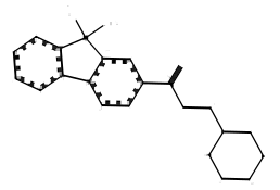 CCCCC1(CCCC)c2ccccc2-c2ccc(C(=O)CCC3CCCCC3)cc21